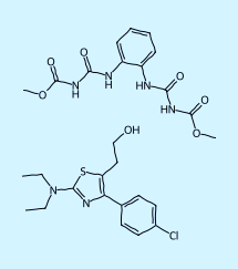 CCN(CC)c1nc(-c2ccc(Cl)cc2)c(CCO)s1.COC(=O)NC(=O)Nc1ccccc1NC(=O)NC(=O)OC